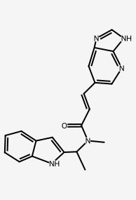 CC(c1cc2ccccc2[nH]1)N(C)C(=O)C=Cc1cnc2[nH]cnc2c1